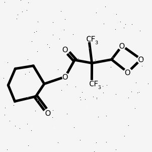 O=C1CCCCC1OC(=O)C(C1OOO1)(C(F)(F)F)C(F)(F)F